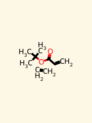 C=C.C=CC(=O)OC(C)(C)C